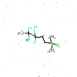 C[Si](C)(Cl)CCC(F)(F)C(F)(F)C(F)(F)F